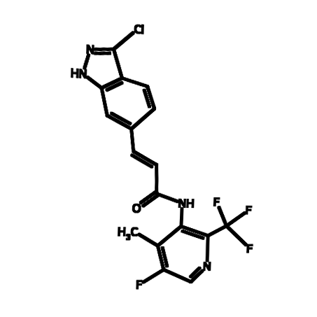 Cc1c(F)cnc(C(F)(F)F)c1NC(=O)/C=C/c1ccc2c(Cl)n[nH]c2c1